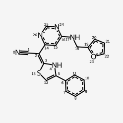 N#CC(=C1NC(c2ccccc2)=CS1)c1cc(NCc2ccco2)ncn1